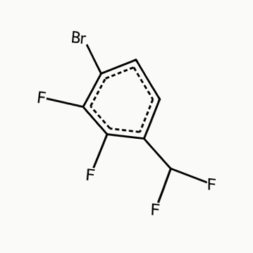 Fc1c(Br)ccc(C(F)F)c1F